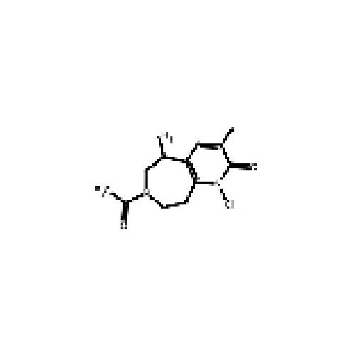 CC1CN(C(=O)C(F)(F)F)CCc2c1cc(I)c(=O)n2C